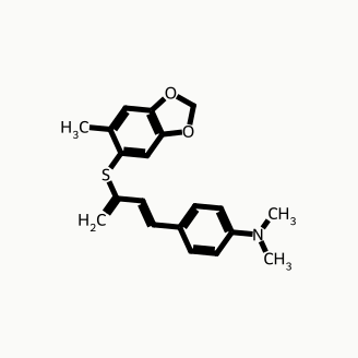 C=C(/C=C/c1ccc(N(C)C)cc1)Sc1cc2c(cc1C)OCO2